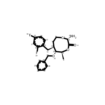 C[C@@H]1OC(=O)[C@@H](N)CCC[C@H](Cc2ccc(F)cc2F)[C@H]1OCc1ccccc1